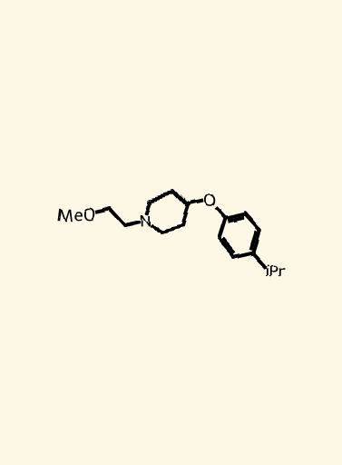 COCCN1CCC(Oc2ccc(C(C)C)cc2)CC1